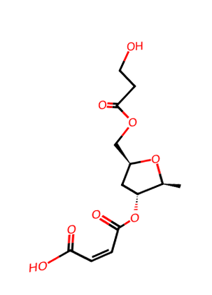 C[C@@H]1O[C@H](COC(=O)CCO)C[C@H]1OC(=O)/C=C\C(=O)O